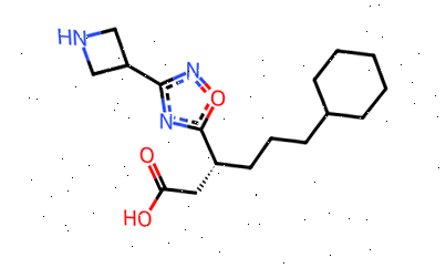 O=C(O)C[C@@H](CCCC1CCCCC1)c1nc(C2CNC2)no1